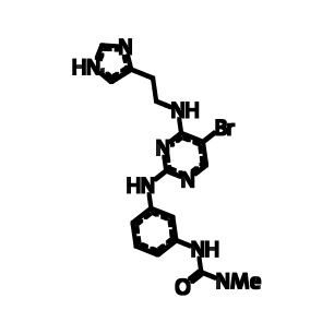 CNC(=O)Nc1cccc(Nc2ncc(Br)c(NCCc3c[nH]cn3)n2)c1